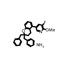 COc1ncc(-c2cccc3c2CCC(Cc2ccccc2)(Cc2ccccc2)O3)cc1F.N